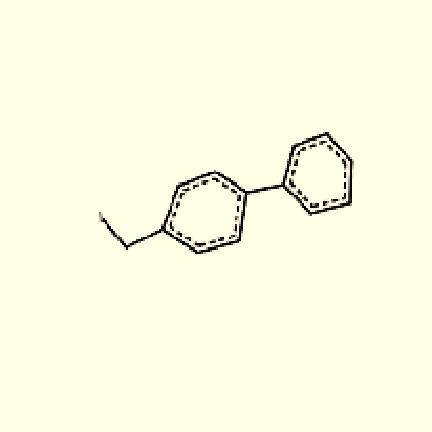 ICc1ccc(-c2ccccc2)cc1